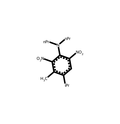 CCCN(CCC)c1c([N+](=O)[O-])cc(C(C)C)c(C)c1[N+](=O)[O-]